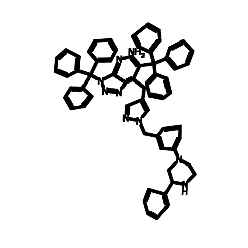 Nc1nc2c(nnn2C(c2ccccc2)(c2ccccc2)c2ccccc2)c(Cc2cnn(Cc3cccc(N4CCNC(c5ccccc5)C4)c3)c2)c1C(c1ccccc1)(c1ccccc1)c1ccccc1